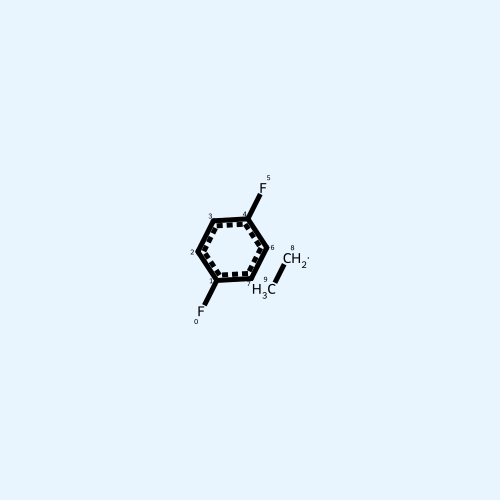 Fc1[c]cc(F)cc1.[CH2]C